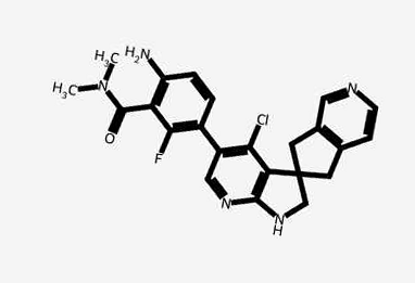 CN(C)C(=O)c1c(N)ccc(-c2cnc3c(c2Cl)C2(CN3)Cc3ccncc3C2)c1F